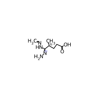 C=NN/C(=N\N)[C@@H](C)CCC(=O)O